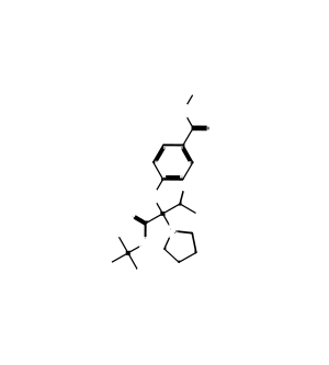 COC(=O)c1ccc(OC(C(=O)OC(C)(C)C)(C(C)C)N2CCCC2)cc1